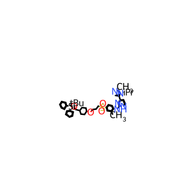 Cc1cc(S(=O)(=O)CCCOC2CCC(CO[Si](c3ccccc3)(c3ccccc3)C(C)(C)C)CC2)ccc1Nc1nccc(-c2cnc(C)n2C(C)C)n1